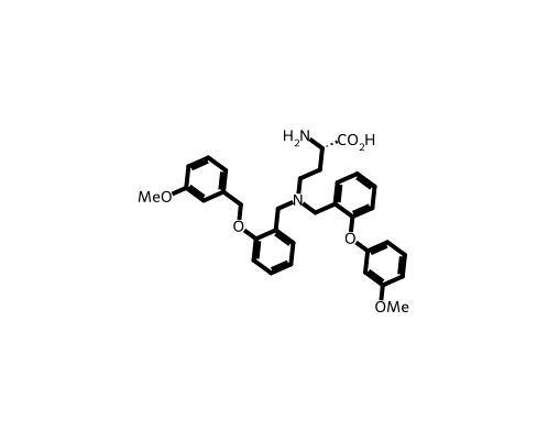 COc1cccc(COc2ccccc2CN(CC[C@H](N)C(=O)O)Cc2ccccc2Oc2cccc(OC)c2)c1